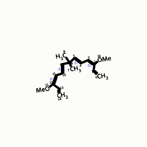 C=C/C(=C\C=C\C(C)(C)/C=C/C=C(\C=C)OC)OC